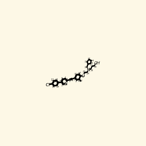 Cc1cc(C#Cc2ccc(-c3ccc(Cl)cc3)cn2)ccc1OCCN(CCCO)CC1CCCC1